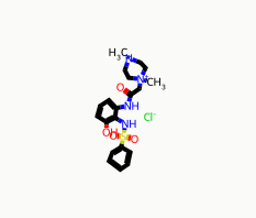 CN1CC[N+](C)(CC(=O)Nc2cccc(O)c2NS(=O)(=O)c2ccccc2)CC1.[Cl-]